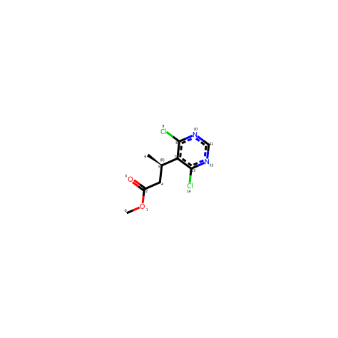 COC(=O)C[C@@H](C)c1c(Cl)ncnc1Cl